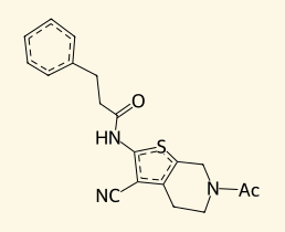 CC(=O)N1CCc2c(sc(NC(=O)CCc3ccccc3)c2C#N)C1